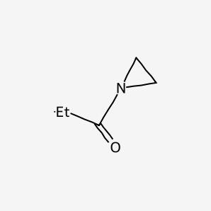 C[CH]C(=O)N1CC1